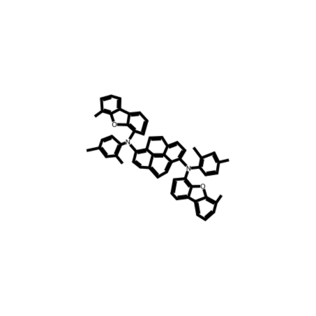 Cc1ccc(N(c2ccc3ccc4c(N(c5ccc(C)cc5C)c5cccc6c5oc5c(C)cccc56)ccc5ccc2c3c54)c2cccc3c2oc2c(C)cccc23)c(C)c1